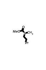 COC(=O)N(C)CCC(C)C